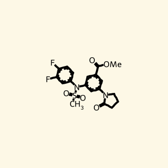 COC(=O)c1cc(N2CCCC2=O)cc(N(c2ccc(F)c(F)c2)S(C)(=O)=O)c1